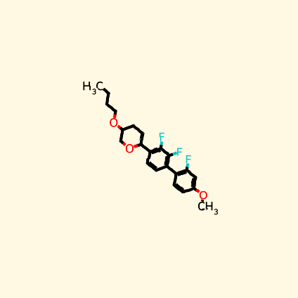 CCCCOC1CCC(c2ccc(-c3ccc(OC)cc3F)c(F)c2F)OC1